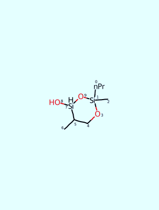 CCC[Si]1(C)OCC(C)[SiH](O)O1